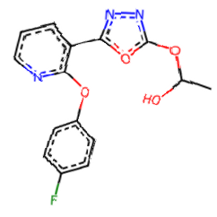 CC(O)Oc1nnc(-c2cccnc2Oc2ccc(F)cc2)o1